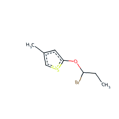 CCC(Br)Oc1cc(C)cs1